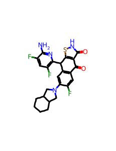 Nc1nc(C2c3cc(N4CC5CCCCC5C4)c(F)cc3C(=O)c3c2s[nH]c3=O)c(F)cc1F